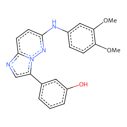 COc1ccc(Nc2ccc3ncc(-c4cccc(O)c4)n3n2)cc1OC